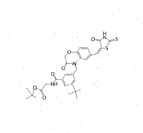 CC(C)(C)OC(=O)CNC(=O)c1cc(CN2C(=O)COc3ccc(C=C4SC(=S)NC4=O)cc32)cc(C(C)(C)C)c1